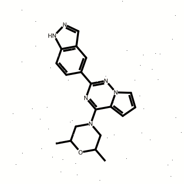 CC1CN(c2nc(-c3ccc4[nH]ncc4c3)nn3cccc23)CC(C)O1